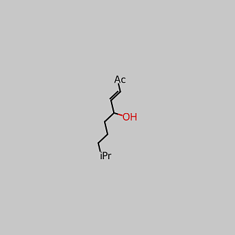 CC(=O)C=CC(O)CCCC(C)C